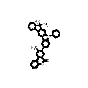 Cc1cc2c(cc1-c1ccc3c(c1)c1cc4c(cc1n3-c1ccccc1)C(C)(C)c1ccccc1-4)c(=O)oc1ccccc12